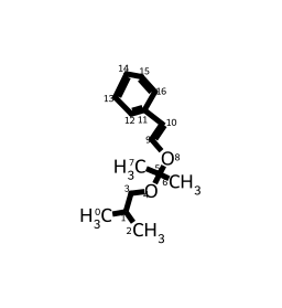 CC(C)COC(C)(C)OC=Cc1ccccc1